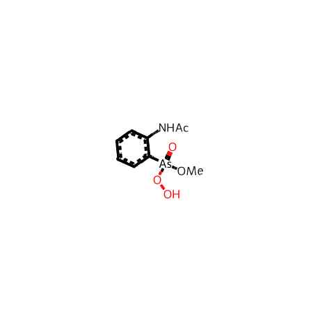 CO[As](=O)(OO)c1ccccc1NC(C)=O